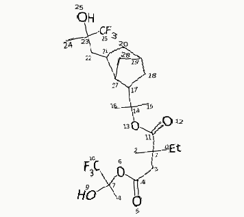 CCC(C)(CC(=O)OC(C)(O)C(F)(F)F)C(=O)OC(C)(C)C1CC2CC(CC(C)(O)C(F)(F)F)C1C2